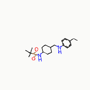 CCc1ccc(NCC2CCC(NS(=O)(=O)C(C)(C)C)CC2)cc1